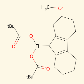 CC(C)(C)C(=O)[O][Ti+]([O]C(=O)C(C)(C)C)[CH]1C2=C(CCCC2)C2=C1CCCC2.C[O-]